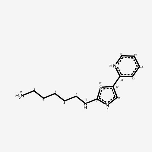 NCCCCCNc1ncc(-c2c[c]ccn2)s1